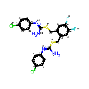 N/C(=N\c1ccc(Cl)cc1)SCc1cc(F)c(F)cc1CS/C(N)=N/c1ccc(Cl)cc1